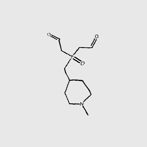 CN1CCC(CP(=O)(CC=O)CC=O)CC1